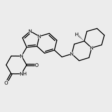 O=C1CCN(c2cnn3ccc(CN4CCN5CCCC[C@@H]5C4)cc23)C(=O)N1